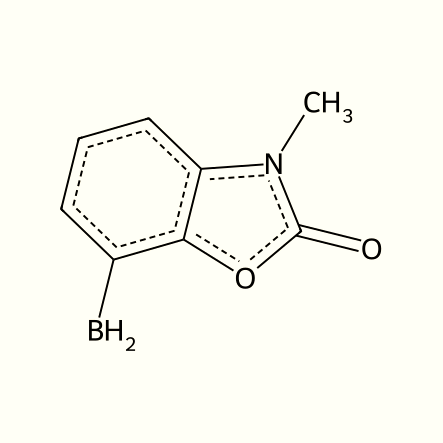 Bc1cccc2c1oc(=O)n2C